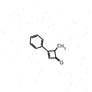 CC1C(=O)C=C1c1ccccc1